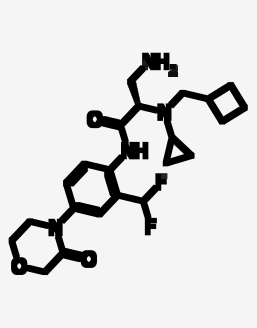 NC[C@H](C(=O)Nc1ccc(N2CCOCC2=O)cc1C(F)F)N(CC1CCC1)C1CC1